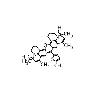 CC1=CC(C)(C)N2CCCc3c4c(cc1c32)C(c1ccc(C)s1)=c1cc2c3c(c1O4)CCC[N+]=3C(C)(C)C=C2C